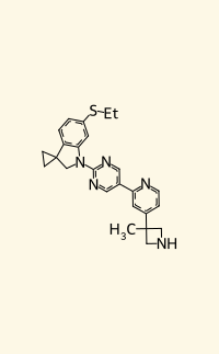 CCSc1ccc2c(c1)N(c1ncc(-c3cc(C4(C)CNC4)ccn3)cn1)CC21CC1